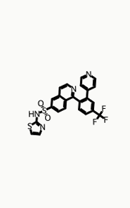 O=S(=O)(Nc1nccs1)c1ccc2c(-c3ccc(C(F)(F)F)cc3-c3ccncc3)nccc2c1